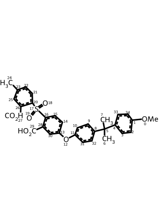 COc1ccc(C(C)(C)c2ccc(Oc3ccc(S(=O)(=O)c4ccc(C)cc4C(=O)O)c(C(=O)O)c3)cc2)cc1